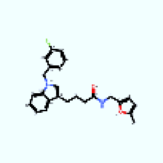 Cc1ccc(CNC(=O)CCCc2cn(Cc3cccc(F)c3)c3ccccc23)o1